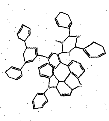 CN1C(C2=CCCC=C2)NC(C2=CC=CCC2)NC1c1cc(C2=CC(C3C=CC=CC3)CC(C3=CCCC=C3)=C2)ccc1-c1cccc2c1C1C(C=CC3C1c1ccccc1N3c1ccccc1)O2